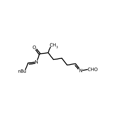 CCCCC=NC(=O)C(C)CCCC=NC=O